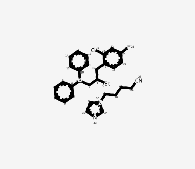 CCC(CB(c1ccccc1)c1ccccc1)Cc1ccc(F)cc1Cl.N#CCCCCn1ccnc1